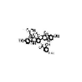 CC(C)=CCC12Oc3cc(O)ccc3C1(O)Oc1cc(OC(=O)c3ccc(O)cc3O)c(C3=C[C@]4(C)C[C@H](C3)c3ccc(O)cc3O4)c(O)c1C2=O